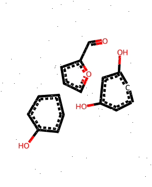 O=Cc1ccco1.Oc1cccc(O)c1.Oc1ccccc1